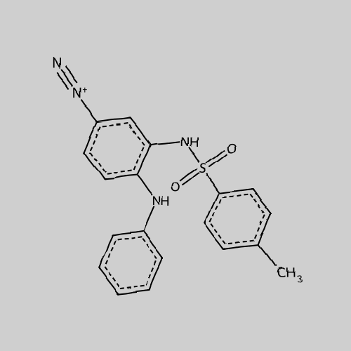 Cc1ccc(S(=O)(=O)Nc2cc([N+]#N)ccc2Nc2ccccc2)cc1